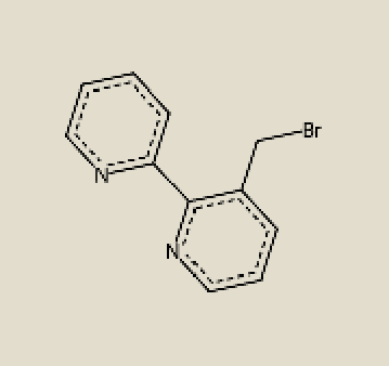 BrCc1cccnc1-c1ccccn1